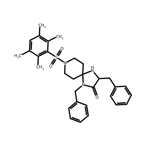 Cc1cc(C)c(C)c(S(=O)(=O)N2CCC3(CC2)NC(Cc2ccccc2)C(=O)N3Cc2ccccc2)c1C